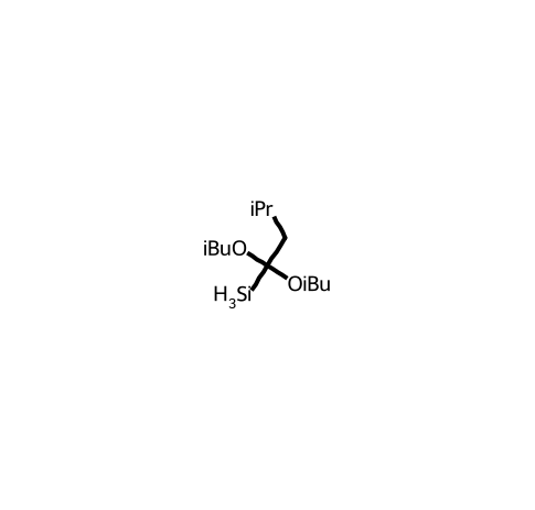 CC(C)COC([SiH3])(CC(C)C)OCC(C)C